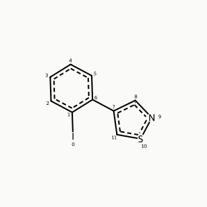 Ic1ccccc1-c1[c]nsc1